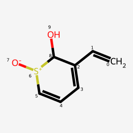 C=CC1=CC=C[S+]([O-])C1O